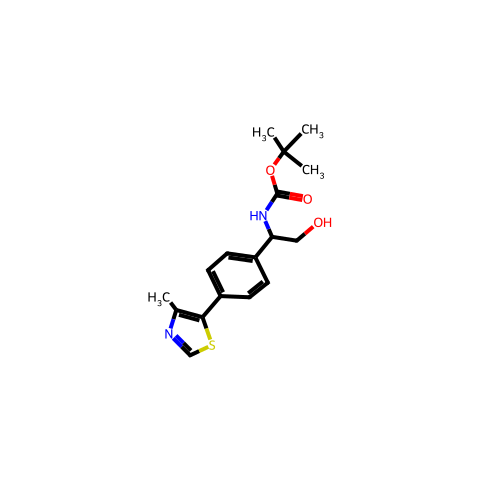 Cc1ncsc1-c1ccc(C(CO)NC(=O)OC(C)(C)C)cc1